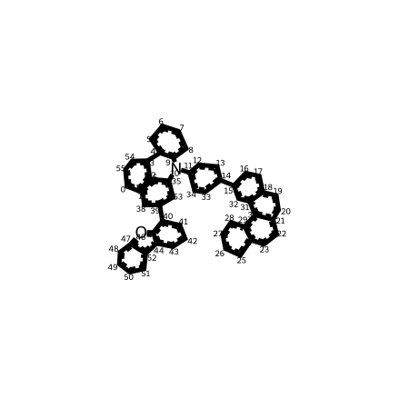 c1ccc(-c2ccccc2N(c2ccc(-c3ccc4ccc5ccc6ccccc6c5c4c3)cc2)c2cccc(-c3cccc4c3oc3ccccc34)c2)cc1